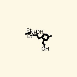 CCC(C)(CC)NC[C@@H](O)Cc1ccc(C)cc1CCO